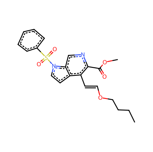 CCCCO/C=C/c1c(C(=O)OC)ncc2c1ccn2S(=O)(=O)c1ccccc1